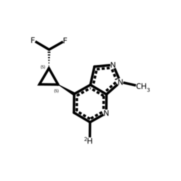 [2H]c1cc([C@H]2C[C@@H]2C(F)F)c2cnn(C)c2n1